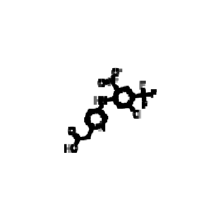 O=C(O)Cc1ccc(Nc2cc(Cl)c(C(F)(F)F)cc2[N+](=O)[O-])cn1